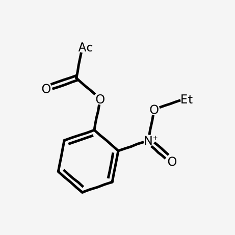 CCO[N+](=O)c1ccccc1OC(=O)C(C)=O